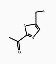 CC(=O)c1ncc(CI)s1